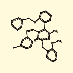 COc1ccccc1Cn1nc(C)c(-c2ccccc2OCc2ccccc2)c(C=Cc2cccc(F)c2)c1=O